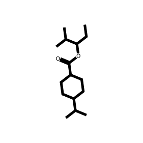 CCC(OC(=O)C1CCC(C(C)C)CC1)C(C)C